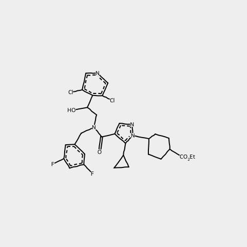 CCOC(=O)C1CCC(n2ncc(C(=O)N(Cc3cc(F)cc(F)c3)CC(O)c3c(Cl)cncc3Cl)c2C2CC2)CC1